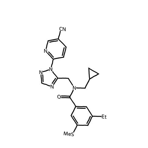 CCc1cc(SC)cc(C(=O)N(Cc2ncnn2-c2ccc(C#N)cn2)CC2CC2)c1